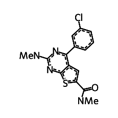 CNC(=O)c1cc2c(-c3cccc(Cl)c3)nc(NC)nc2s1